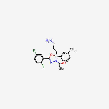 Cc1cccc(C2(CCCN)OC(c3cc(F)ccc3F)=NN2C(=O)C(C)(C)C)c1